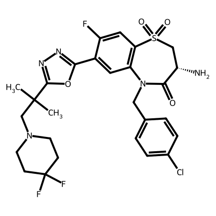 CC(C)(CN1CCC(F)(F)CC1)c1nnc(-c2cc3c(cc2F)S(=O)(=O)C[C@H](N)C(=O)N3Cc2ccc(Cl)cc2)o1